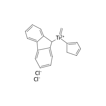 [CH2]=[Ti+2]([C]1=CC=CC1)[CH]1c2ccccc2-c2ccccc21.[Cl-].[Cl-]